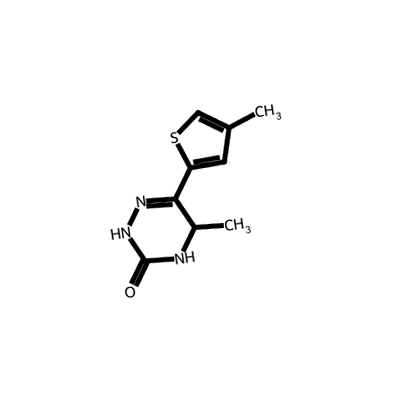 Cc1csc(C2=NNC(=O)NC2C)c1